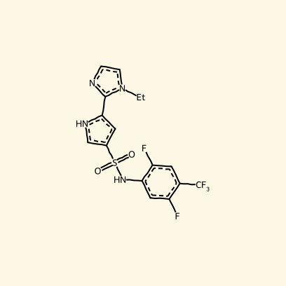 CCn1ccnc1-c1cc(S(=O)(=O)Nc2cc(F)c(C(F)(F)F)cc2F)c[nH]1